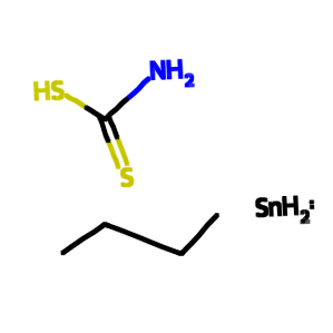 CCCC.NC(=S)S.[SnH2]